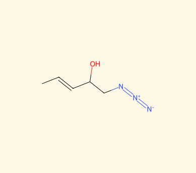 CC=CC(O)CN=[N+]=[N-]